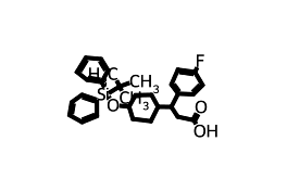 CC(C)(C)[Si](OC1CCC(C(CC(=O)O)c2ccc(F)cc2)CC1)(c1ccccc1)c1ccccc1